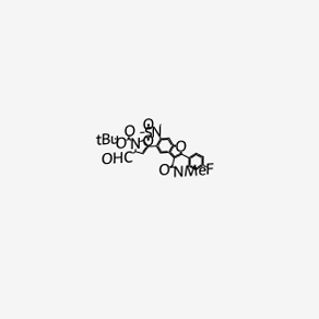 CNC(=O)c1c(-c2ccc(F)cc2)oc2cc(N(C)S(C)(=O)=O)c(C3=CC(C=O)N(C(=O)OC(C)(C)C)C3)cc12